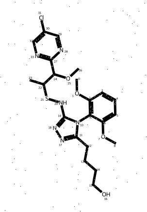 COc1cccc(OC)c1-n1c(CCCCO)nnc1NSC(C)C(OC)c1ncc(Cl)cn1